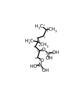 CC(C)CCC(C)(C)CC(CON(O)O)ON(O)O